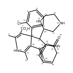 CC1=C(C(=O)O)C(c2ccccc2Cl)(C(C2=CC=CCC2=O)C2CNCCN2)C(C(=O)OC(C)C)=C(C)N1